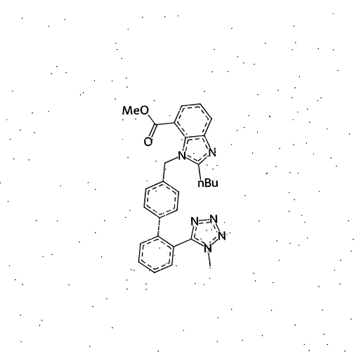 CCCCc1nc2cccc(C(=O)OC)c2n1Cc1ccc(-c2ccccc2-c2nnnn2C)cc1